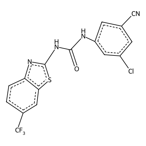 N#Cc1cc(Cl)cc(NC(=O)Nc2nc3ccc(C(F)(F)F)cc3s2)c1